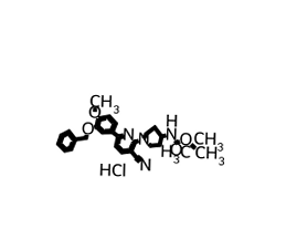 COc1ccc(-c2ccc(C#N)c(N3CCC(NC(=O)OC(C)(C)C)CC3)n2)cc1OCc1ccccc1.Cl